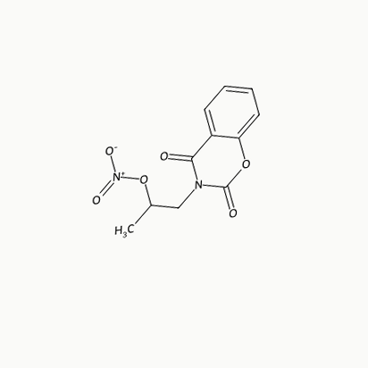 CC(Cn1c(=O)oc2ccccc2c1=O)O[N+](=O)[O-]